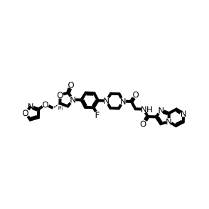 O=C(NCC(=O)N1CCN(c2ccc(N3C[C@H](COc4ccon4)OC3=O)cc2F)CC1)c1cn2ccncc2n1